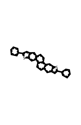 c1ccc(-c2cc3cc4ccc5c6cc7sc(-c8ccccc8)cc7cc6ccc5c4cc3s2)cc1